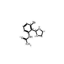 CC(=O)Nc1cccc(Br)c1C1OCCO1